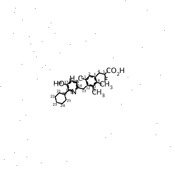 Cc1cc(CC(F)C(=O)O)c(C)c(C)c1Cc1ccc(O)c(C2CCCCC2)n1